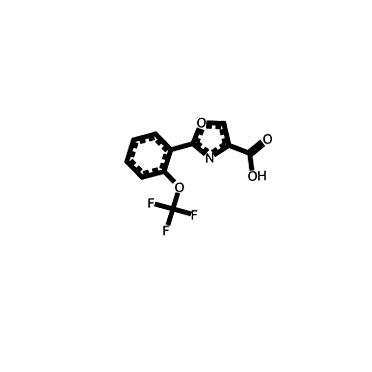 O=C(O)c1coc(-c2ccccc2OC(F)(F)F)n1